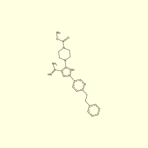 CC(C)(C)OC(=O)N1CCN(c2[nH]c(-c3ccc(CCc4ccccc4)nc3)cc2C(=N)N)CC1